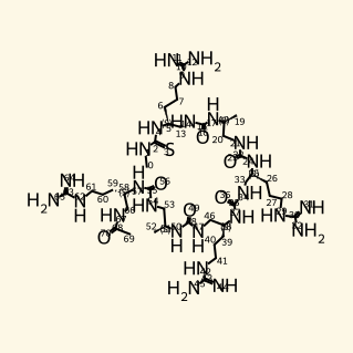 CNC(=S)N[C@@H](CCCNC(=N)N)CNC(=O)N[C@@H](C)CNC(=O)N[C@@H](CCCNC(=N)N)CNC(=O)N[C@@H](CCCNC(=N)N)CNC(=O)N[C@@H](C)CNC(=O)N[C@@H](CCCNC(=N)N)CNC(C)=O